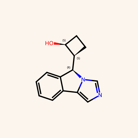 O[C@H]1CC[C@H]1[C@@H]1c2ccccc2-c2cncn21